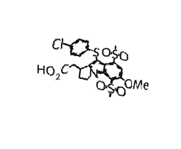 COc1cc(S(C)(=O)=O)c2c(Sc3ccc(Cl)cc3)c3n(c2c1S(C)(=O)=O)CCC3CC(=O)O